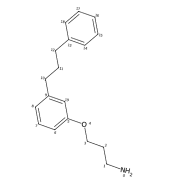 NCCCOc1cccc([CH]CCc2ccccc2)c1